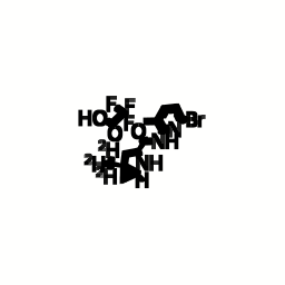 O=C(O)C(F)(F)F.[2H]C([2H])([2H])[C@@]12C[C@@H](C(=O)Nc3nc(Br)ccc3C)N[C@@H]1C2